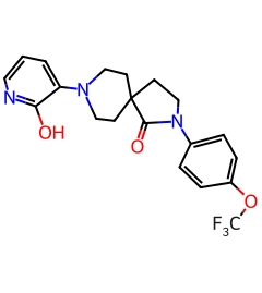 O=C1N(c2ccc(OC(F)(F)F)cc2)CCC12CCN(c1cccnc1O)CC2